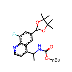 CCCCOC(=O)NC(C)c1ccnc2c(F)cc(B3OC(C)(C)C(C)(C)O3)cc12